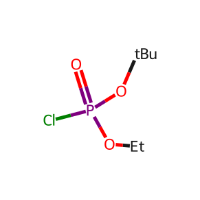 CCOP(=O)(Cl)OC(C)(C)C